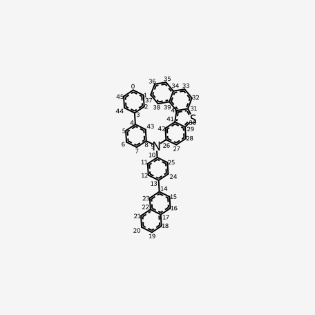 c1ccc(-c2cccc(N(c3ccc(-c4ccc5ccccc5c4)cc3)c3ccc4sc5ccc6ccccc6c5c4c3)c2)cc1